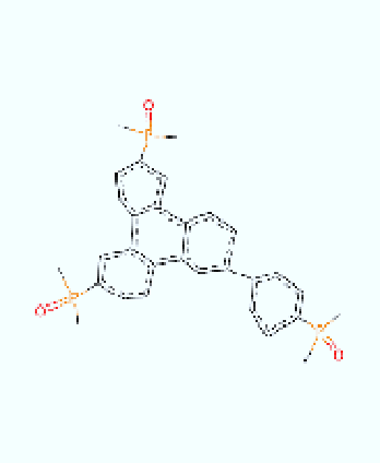 CP(C)(=O)c1ccc(-c2ccc3c(c2)c2ccc(P(C)(C)=O)cc2c2ccc(P(C)(C)=O)cc32)cc1